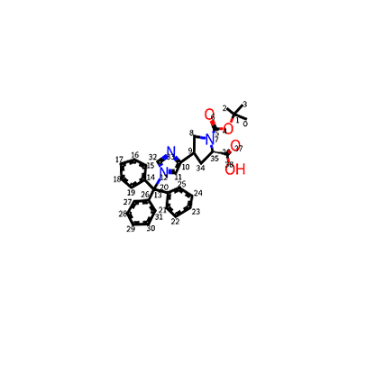 CC(C)(C)OC(=O)N1CC(c2cn(C(c3ccccc3)(c3ccccc3)c3ccccc3)cn2)C[C@@H]1C(=O)O